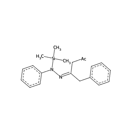 CC(=O)C/C(Cc1ccccc1)=N\N(c1ccccc1)[Si](C)(C)C